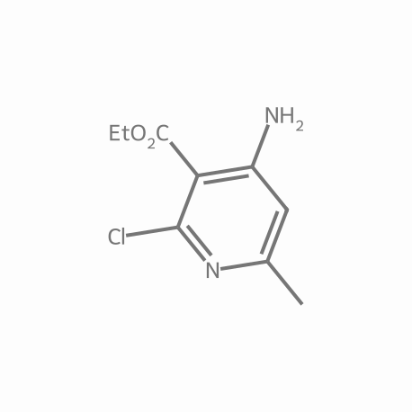 CCOC(=O)c1c(N)cc(C)nc1Cl